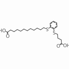 O=C(O)CCCCCCCCCCCSc1ccccc1SCCCC(=O)O